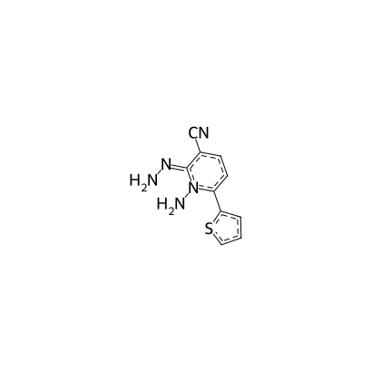 N#Cc1ccc(-c2cccs2)n(N)/c1=N\N